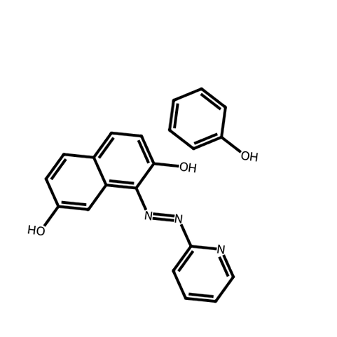 Oc1ccc2ccc(O)c(N=Nc3ccccn3)c2c1.Oc1ccccc1